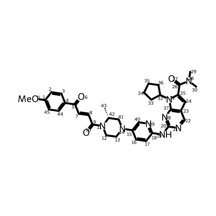 COc1ccc(C(=O)/C=C/C(=O)N2CCN(c3ccc(Nc4ncc5cc(C(=O)N(C)C)n(C6CCCC6)c5n4)nc3)C[C@H]2C)cc1